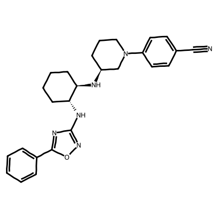 N#Cc1ccc(N2CCC[C@H](N[C@@H]3CCCC[C@H]3Nc3noc(-c4ccccc4)n3)C2)cc1